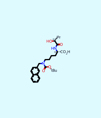 CC(C)[C@H](O)C(=O)N[C@@H](CCCCN(Cc1ccc2ccccc2c1)C(=O)OC(C)(C)C)C(=O)O